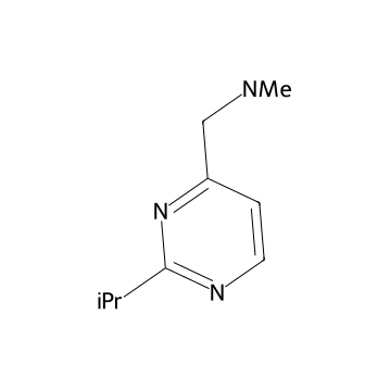 CNCc1ccnc(C(C)C)n1